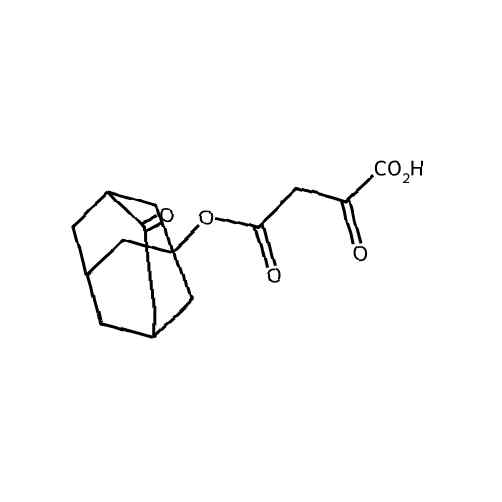 O=C(CC(=O)C(=O)O)OC12CC3CC(C1)C(=O)C(C3)C2